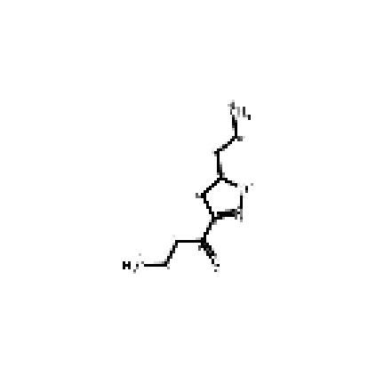 CCCC(=O)C1=NOC(CCC)C1